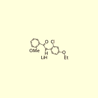 CCOc1ccc(PC(=O)c2ccccc2OC)c(Cl)c1.[LiH]